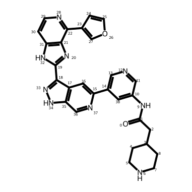 O=C(CC1CCNCC1)Nc1cncc(-c2cc3c(-c4nc5c(-c6ccoc6)nccc5[nH]4)n[nH]c3cn2)c1